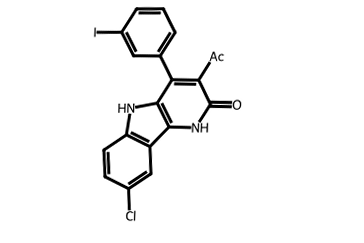 CC(=O)c1c(-c2cccc(I)c2)c2[nH]c3ccc(Cl)cc3c2[nH]c1=O